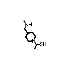 CNCC1CCN(C(C)S)CC1